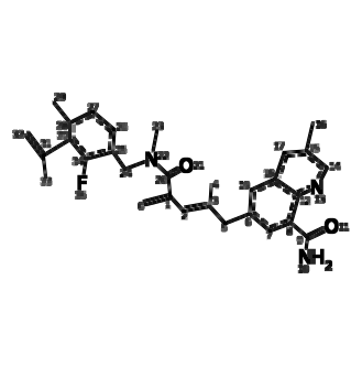 C=C(/C=C(\C)Cc1cc(C(N)=O)c2ncc(C)cc2c1)C(=O)N(C)Cc1ccc(C)c(C(=C)C)c1F